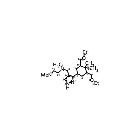 CCOCC1CC(c2n[nH]cc2CN(C)CCNC)CC(COCC)C1(C)C